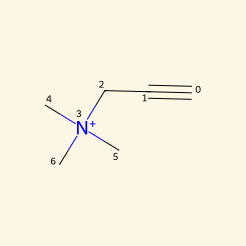 C#CC[N+](C)(C)C